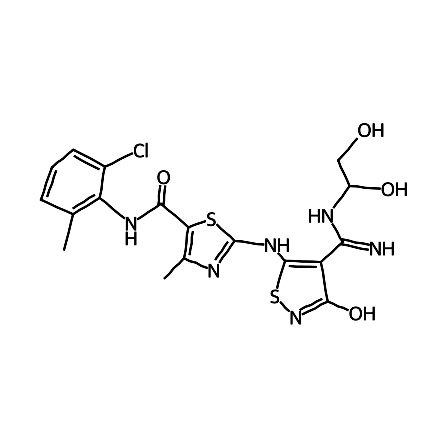 Cc1cccc(Cl)c1NC(=O)c1sc(Nc2snc(O)c2C(=N)NC(O)CO)nc1C